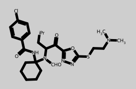 CC(C)CC(C(=O)c1nnc(SCCN(C)C)o1)N(C=O)C1(NC(=O)c2ccc(Cl)cc2)CCCCC1